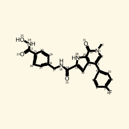 Cn1cc(-c2ccc(F)cc2)c2cc(C(=O)NCc3ccc(C(=O)NO)cc3)[nH]c2c1=O